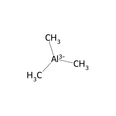 [CH3][Al-3]([CH3])[CH3]